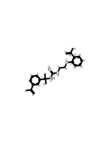 C=C(C)c1cccc(C(C)(C)NC(=O)OCCOc2ccccc2C(=C)C)c1